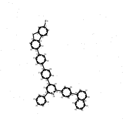 Fc1ccc2c(c1)Cc1ccc(-c3ccc(-c4ccc(-c5cc(-c6ccccc6)nc(-c6ccc(-c7cccc8ccccc78)cc6)c5)cc4)cc3)cc1-2